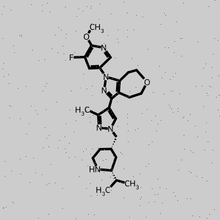 COc1ncc(-n2nc(-c3cn(C[C@H]4CCN[C@@H](C(C)C)C4)nc3C)c3c2CCOCC3)cc1F